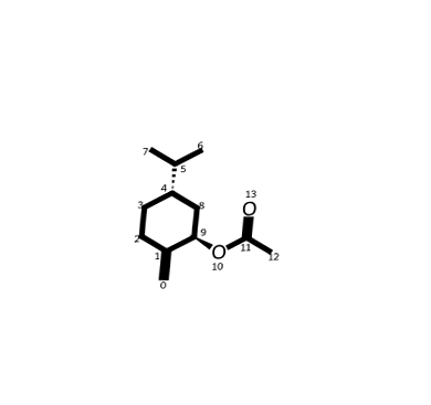 C=C1CC[C@H](C(C)C)C[C@H]1OC(C)=O